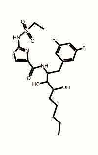 CCCCCC(O)C(O)C(Cc1cc(F)cc(F)c1)NC(=O)c1csc(NS(=O)(=O)CC)n1